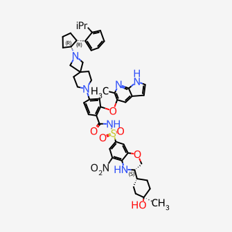 Cc1nc2[nH]ccc2cc1Oc1cc(N2CCC3(CC2)CN([C@@H]2CCC[C@@H]2c2ccccc2C(C)C)C3)ccc1C(=O)NS(=O)(=O)c1cc2c(c([N+](=O)[O-])c1)N[C@@H]([C@H]1CC[C@](C)(O)CC1)CO2